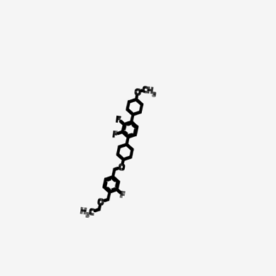 CCOCc1ccc(COC2CCC(c3ccc(C4CCC(OC)CC4)c(F)c3F)CC2)cc1F